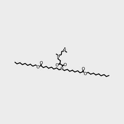 CCCCCCCCCOC(=O)CCCCCCCN(CCCCCCCC(=O)OCCCCCCCCC)C(=O)C(=O)CCN(C)CCN(C)C